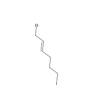 [O]CC=CCCCI